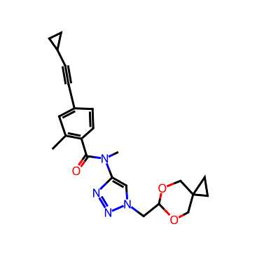 Cc1cc(C#CC2CC2)ccc1C(=O)N(C)c1cn(CC2OCC3(CC3)CO2)nn1